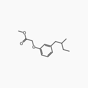 CCC(C)Cc1cccc(OCC(=O)OC)c1